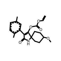 C=COC(=O)OC1=C(c2cc(C)ccc2C)C(=O)NC12CCC(OC)CC2